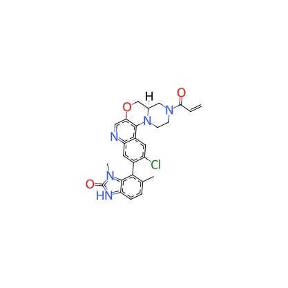 C=CC(=O)N1CCN2c3c(cnc4cc(-c5c(C)ccc6[nH]c(=O)n(C)c56)c(Cl)cc34)OC[C@H]2C1